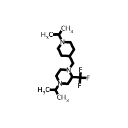 CC(C)N1CCC(CN2CCN(C(C)C)CC2C(F)(F)F)CC1